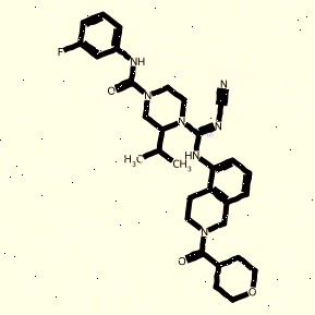 CC(C)C1CN(C(=O)Nc2cccc(F)c2)CCN1/C(=N\C#N)Nc1cccc2c1CCN(C(=O)C1CCOCC1)C2